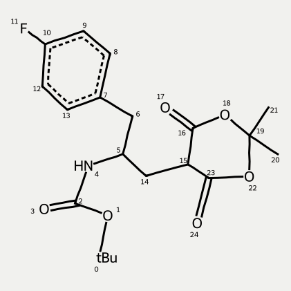 CC(C)(C)OC(=O)NC(Cc1ccc(F)cc1)CC1C(=O)OC(C)(C)OC1=O